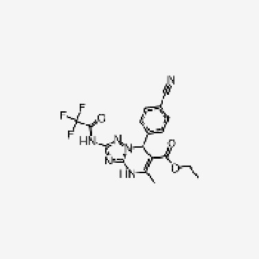 CCOC(=O)C1=C(C)Nc2nc(NC(=O)C(F)(F)F)nn2C1c1ccc(C#N)cc1